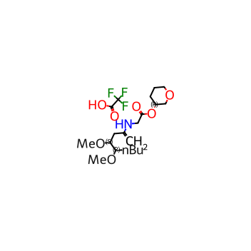 C=C(C[C@H](OC)[C@@H](CCCC)OC)NCC(=O)O[C@@H]1CCCOC1.O=C(O)C(F)(F)F